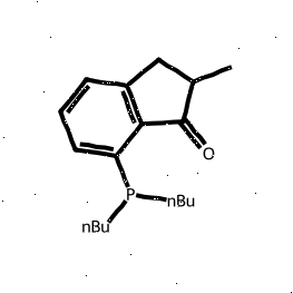 CCCCP(CCCC)c1cccc2c1C(=O)C(C)C2